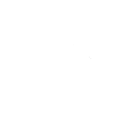 CC(C)(C)CCC1(C(=O)c2cc3cc(F)ccc3s2)CCNC1